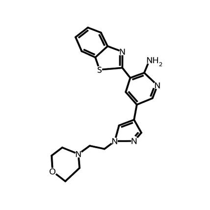 Nc1ncc(-c2cnn(CCN3CCOCC3)c2)cc1-c1nc2ccccc2s1